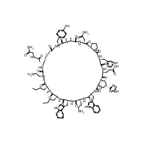 CCCC[C@H]1C(=O)N(C)[C@@H](CCCC)C(=O)N[C@@H](CCN)C(=O)N[C@H](CC(=O)NCC(N)=O)CSCC(=O)N[C@@H](Cc2ccc(O)cc2)C(=O)N(C)[C@@H](C)C(=O)N[C@@H](CC(N)=O)C(=O)N2CCC[C@H]2C(=O)N[C@@H](Cc2c[nH]cn2)C(=O)N[C@@H](CCC(=O)O)C(=O)N2C[C@H](c3nn[nH]n3)C[C@H]2C(=O)N[C@@H](Cc2c[nH]c3ccccc23)C(=O)N[C@@H](CCN)C(=O)N[C@@H](Cc2c[nH]c3ccccc23)C(=O)N1C